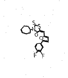 O=C1/C(=C\c2ccc(-c3ccc(F)c(F)c3)o2)SC(=S)N1C1CCCCCC1